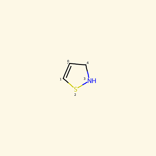 [C]1=CSNC1